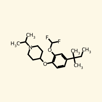 CCC(C)(C)c1ccc(OC2CCN(C(C)C)CC2)c(OC(F)F)c1